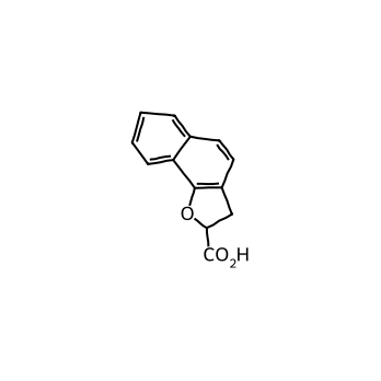 O=C(O)C1Cc2ccc3ccccc3c2O1